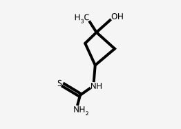 CC1(O)CC(NC(N)=S)C1